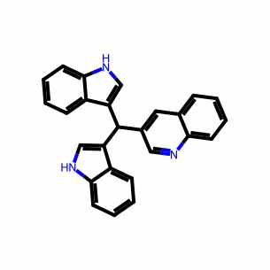 c1ccc2ncc(C(c3c[nH]c4ccccc34)c3c[nH]c4ccccc34)cc2c1